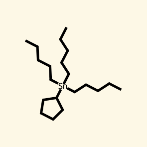 CCCC[CH2][Sn]([CH2]CCCC)([CH2]CCCC)[CH]1CCCC1